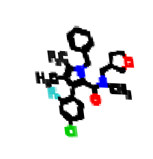 Cc1c(-c2ccc(Cl)cc2F)c(C(=O)N(C)CC2CCOC2)n(Cc2ccccc2)c1C(F)(F)F